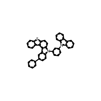 c1ccc(-c2ccc3c(c2)c2c4c(ccc2n3-c2cccc(-n3c5ccccc5c5ccccc53)c2)sc2ccccc24)cc1